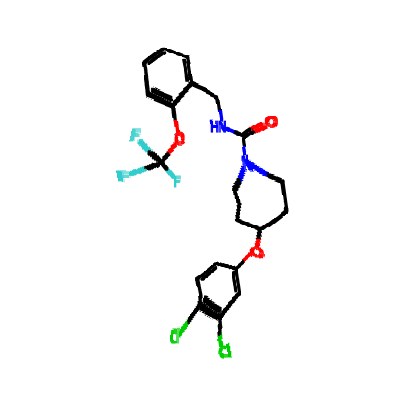 O=C(NCc1ccccc1OC(F)(F)F)N1CCC(Oc2ccc(Cl)c(Cl)c2)CC1